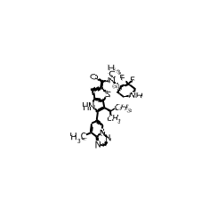 Cc1cc(-c2[nH]c3cc(C(=O)N(C)[C@H]4CCNCC4(F)F)sc3c2C(C)C)cn2ncnc12